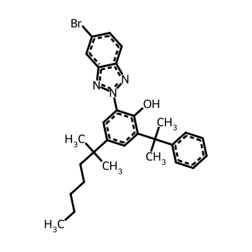 CCCCCC(C)(C)c1cc(-n2nc3ccc(Br)cc3n2)c(O)c(C(C)(C)c2ccccc2)c1